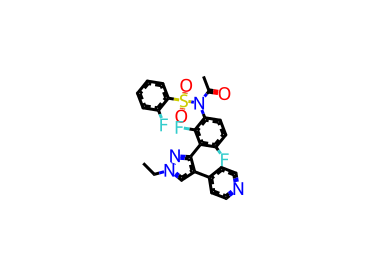 CCn1cc(-c2ccncc2)c(-c2c(F)ccc(N(C(C)=O)S(=O)(=O)c3ccccc3F)c2F)n1